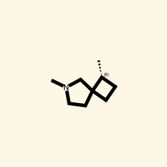 C[C@@H]1CCC12CCN(C)C2